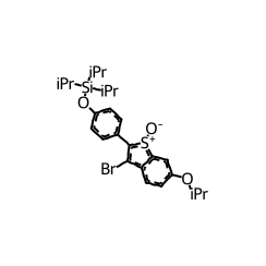 CC(C)Oc1ccc2c(Br)c(-c3ccc(O[Si](C(C)C)(C(C)C)C(C)C)cc3)[s+]([O-])c2c1